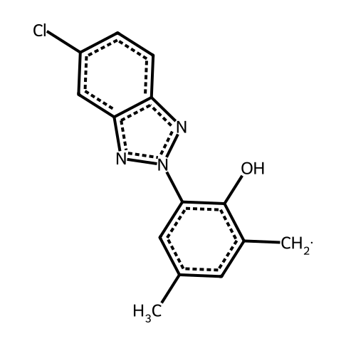 [CH2]c1cc(C)cc(-n2nc3ccc(Cl)cc3n2)c1O